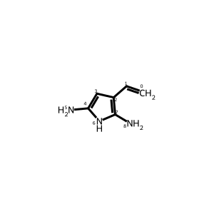 C=Cc1cc(N)[nH]c1N